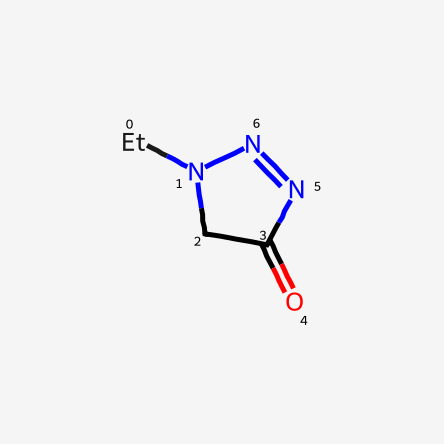 CCN1CC(=O)N=N1